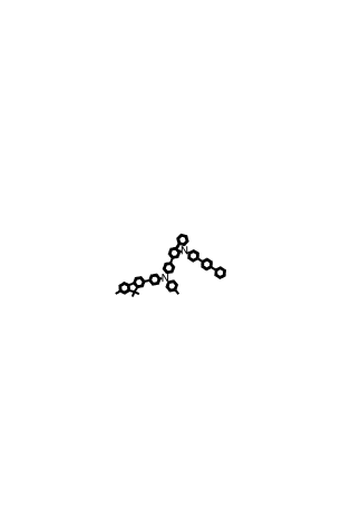 Cc1ccc(N(c2ccc(-c3ccc4c(c3)C(C)(C)c3cc(C)ccc3-4)cc2)c2ccc(-c3ccc4c5ccccc5n(-c5ccc(-c6ccc(-c7ccccc7)cc6)cc5)c4c3)cc2)cc1